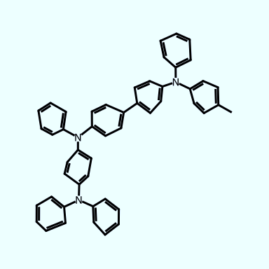 Cc1ccc(N(c2ccccc2)c2ccc(-c3ccc(N(c4ccccc4)c4ccc(N(c5ccccc5)c5ccccc5)cc4)cc3)cc2)cc1